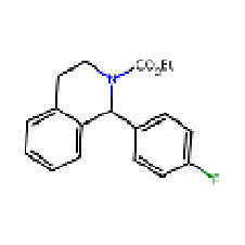 CCOC(=O)N1CCc2ccccc2C1c1ccc(F)cc1